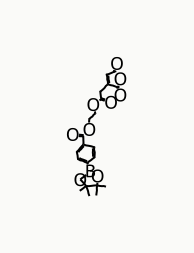 CC1(C)OB(c2ccc(C(=O)OCCOC(=O)CC3=CC(=O)OC3=O)cc2)OC1(C)C